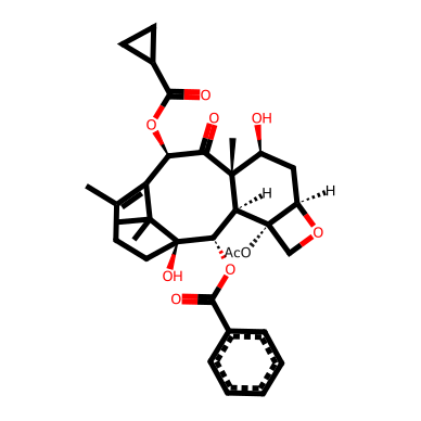 CC(=O)O[C@@]12CO[C@@H]1C[C@H](O)[C@@]1(C)C(=O)[C@H](OC(=O)C3CC3)C3=C(C)CC[C@@](O)([C@@H](OC(=O)c4ccccc4)[C@H]21)C3(C)C